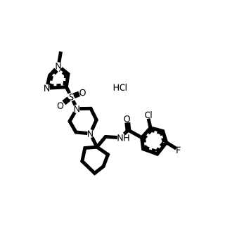 Cl.Cn1cnc(S(=O)(=O)N2CCN(C3(CNC(=O)c4ccc(F)cc4Cl)CCCCC3)CC2)c1